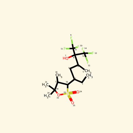 CCC(CC(C)C(O)(C(F)(F)F)C(F)(F)F)C1C(C)C(C)(C)OS1(=O)=O